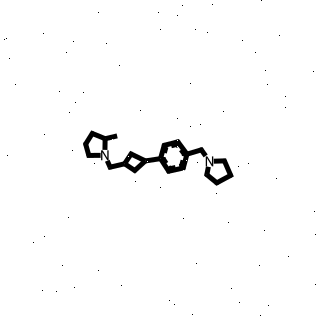 CC1CCCN1CC1CC(c2ccc(CN3CCCC3)cc2)C1